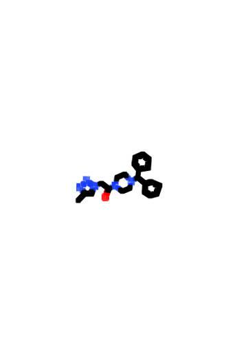 Cc1cn(CC(=O)N2CCN(C(c3ccccc3)c3ccccc3)CC2)nn1